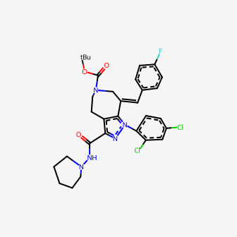 CC(C)(C)OC(=O)N1CCc2c(C(=O)NN3CCCCC3)nn(-c3ccc(Cl)cc3Cl)c2C(=Cc2ccc(F)cc2)C1